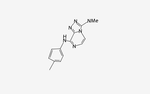 CNc1nnc2c(Nc3ccc(C)cc3)nccn12